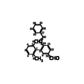 Cc1cccc(C)c1-c1cc(C=O)ccc1OCc1ccccc1